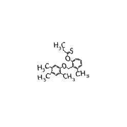 CCC(=S)Oc1cccc(C)c1COc1cc(C)c(C)cc1C